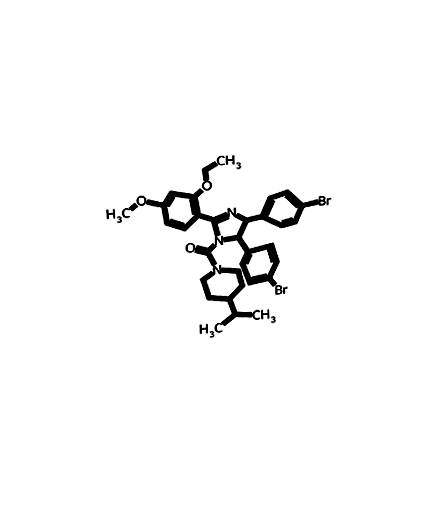 CCOc1cc(OC)ccc1C1=NC(c2ccc(Br)cc2)C(c2ccc(Br)cc2)N1C(=O)N1CCC(C(C)C)CC1